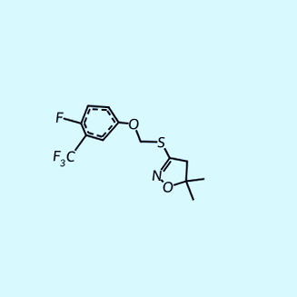 CC1(C)CC(SCOc2ccc(F)c(C(F)(F)F)c2)=NO1